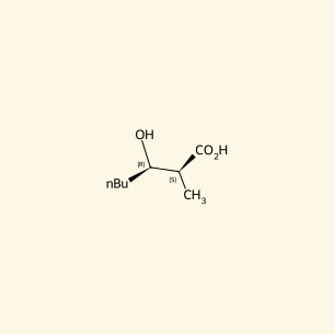 CCCC[C@@H](O)[C@H](C)C(=O)O